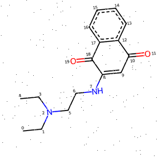 CCN(CC)CCNC1=CC(=O)c2ccccc2C1=O